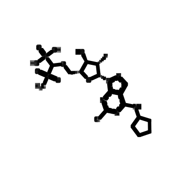 CS(=O)(=O)C(OC[C@H]1O[C@@H](n2ncc3c(NC4CCCC4)nc(Cl)nc32)[C@@H](F)[C@@H]1O)P(=O)(O)O